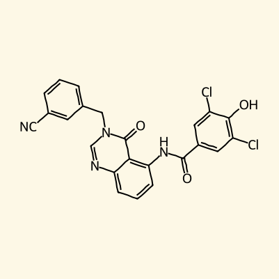 N#Cc1cccc(Cn2cnc3cccc(NC(=O)c4cc(Cl)c(O)c(Cl)c4)c3c2=O)c1